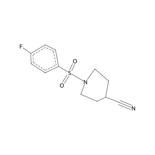 N#CC1CCN(S(=O)(=O)c2ccc(F)cc2)CC1